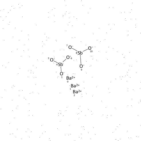 [Ba+2].[Ba+2].[Ba+2].[O-][Sb]([O-])[O-].[O-][Sb]([O-])[O-]